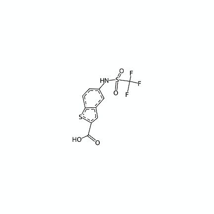 O=C(O)c1cc2cc(NS(=O)(=O)C(F)(F)F)ccc2s1